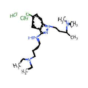 CCN(CC)CCCNc1nn(CCC(C)N(C)C)c2ccc(Cl)cc12.Cl.Cl